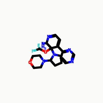 NC1N=CC=C(c2ccncn2)C1(OC(F)F)N1CCCC1N1CCOCC1